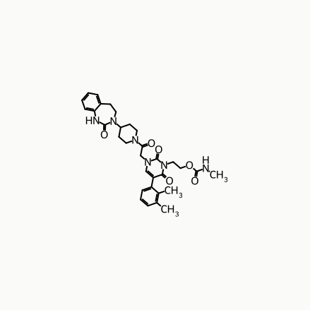 CNC(=O)OCCn1c(=O)c(-c2cccc(C)c2C)cn(CC(=O)N2CCC(N3CCc4ccccc4NC3=O)CC2)c1=O